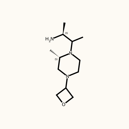 CC([C@H](C)N)N1CCN(C2COC2)C[C@@H]1C